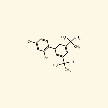 CC(C)(C)C1=CC(c2ccc(Cl)cc2Br)CC(C(C)(C)C)=C1